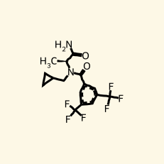 C[C@@H](C(N)=O)N(CC1CC1)C(=O)c1cc(C(F)(F)F)cc(C(F)(F)F)c1